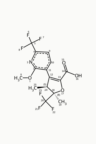 COc1nc(C(F)(F)F)ccc1C1=C(C(=O)O)O[C@@](C)(C(F)(F)F)[C@H]1C